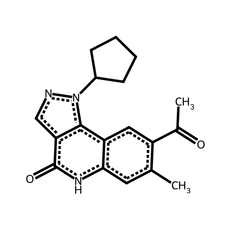 CC(=O)c1cc2c(cc1C)[nH]c(=O)c1cnn(C3CCCC3)c12